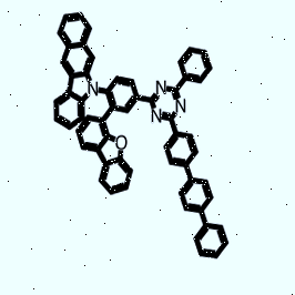 c1ccc(-c2ccc(-c3ccc(-c4nc(-c5ccccc5)nc(-c5ccc(-n6c7ccccc7c7cc8ccccc8cc76)c(-c6cccc7c6oc6ccccc67)c5)n4)cc3)cc2)cc1